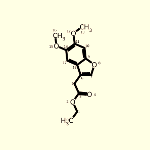 CCOC(=O)Cc1coc2cc(OC)c(OC)cc12